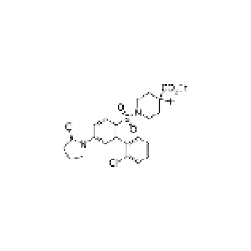 CCOC(=O)C1(F)CCN(S(=O)(=O)c2ccc(N3CCCC3=O)cc2-c2ccccc2Cl)CC1